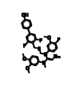 C=N/C=C(/N(C)c1ccc(OC)c(OC)c1)N(CSCc1c(F)cc(-c2ccc(O)cc2)cc1F)c1ccc(F)c(OC)c1